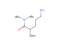 CCCCCCCCCCC(CCCN)C(=O)N(CCCC)CCCC